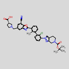 Cc1c(-c2nc3cc(CN4CC[C@@H](C(=O)O)C4)cc(C#N)c3o2)cccc1-c1cccc(-n2cc3c(n2)CN(C(=O)OC(C)(C)C)CC3)c1Cl